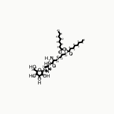 CCCCCCCC(=O)OCC(CSCC(N)C(=O)Nc1cn([C@@H]2OC(CO)C(O)C(O)C2O)nn1)OC(=O)CCCCCCC